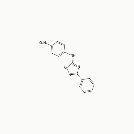 O=[N+]([O-])c1ccc(Nc2nc(-c3ccccc3)n[se]2)cc1